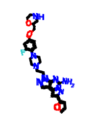 Nc1nc2c(cnn2CCN2CCN(c3ccc(OCC4CNCCO4)cc3F)CC2)c2cc(-c3ccco3)nn12